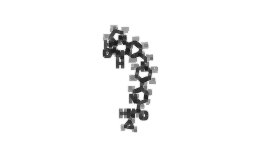 O=C(NC1CC1)c1ccc(C2=CCN(Cc3ccc4c(c3)NC(=O)[C@@H]3CCCN43)CC2)cn1